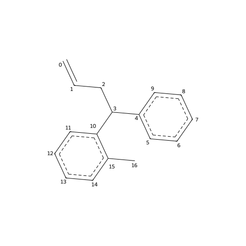 C=CCC(c1ccccc1)c1ccccc1C